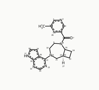 Cc1cncc(C(=O)N2CCN(c3ncnc4[nH]ccc34)C[C@@H]3CCC32)n1